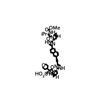 COC(=O)N[C@H](C(=O)N1C2C[C@@H]2C[C@H]1c1nc(-c2ccc3cc(C#Cc4c[nH]c([C@@H]5C[C@H]6C[C@H]6N5C(=O)[C@@H](NC(=O)O)C5CCOCC5)n4)ccc3c2)c[nH]1)C(C)C